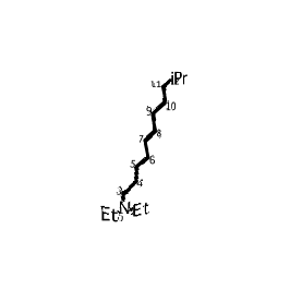 CCN(CC)CCCCCCCCCC(C)C